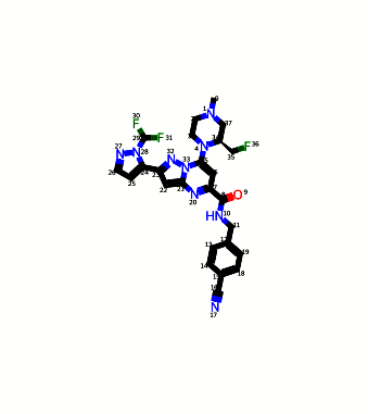 CN1CCN(c2cc(C(=O)NCc3ccc(C#N)cc3)nc3cc(-c4ccnn4C(F)F)nn23)[C@H](CF)C1